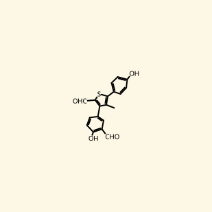 Cc1c(-c2ccc(O)cc2)sc(C=O)c1-c1ccc(O)c(C=O)c1